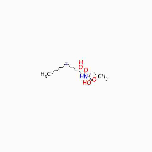 CCCCCC/C=C\CCCC(O)CC(=O)NC1CCC(C)O[C@@H]1O